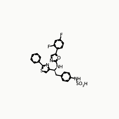 O=S(=O)(O)Nc1ccc(C[C@H](Nc2ncc(-c3ccc(F)cc3F)o2)c2csc(-c3ccccc3)n2)cc1